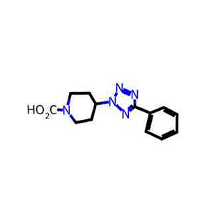 O=C(O)N1CCC(n2nnc(-c3ccccc3)n2)CC1